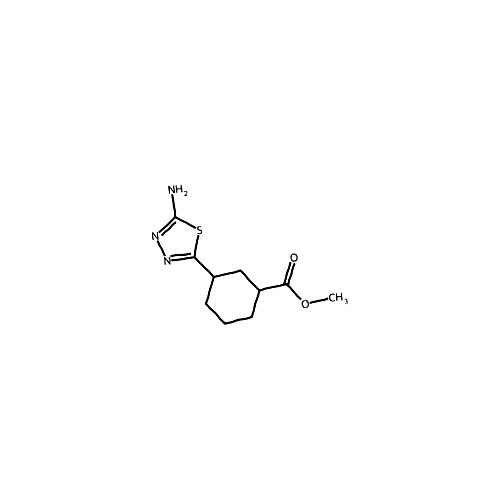 COC(=O)C1CCCC(c2nnc(N)s2)C1